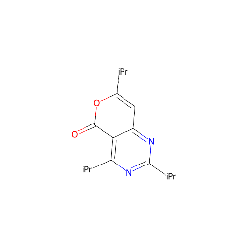 CC(C)c1nc(C(C)C)c2c(=O)oc(C(C)C)cc2n1